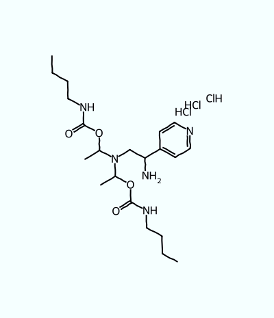 CCCCNC(=O)OC(C)N(CC(N)c1ccncc1)C(C)OC(=O)NCCCC.Cl.Cl.Cl